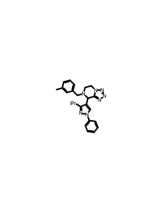 Cc1cccc(CN2CCn3nnnc3C2c2cn(-c3ccccc3)nc2C(C)C)c1